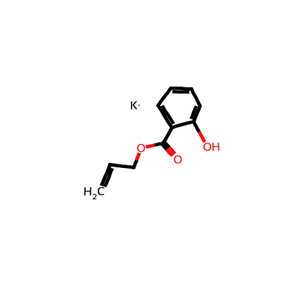 C=CCOC(=O)c1ccccc1O.[K]